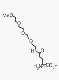 COCCOCCOCCOCCNC(=O)CC[C@H](N)C(=O)O